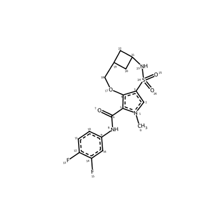 Cn1cc2c(c1C(=O)Nc1ccc(F)c(F)c1)OCC1CC(C1)NS2(=O)=O